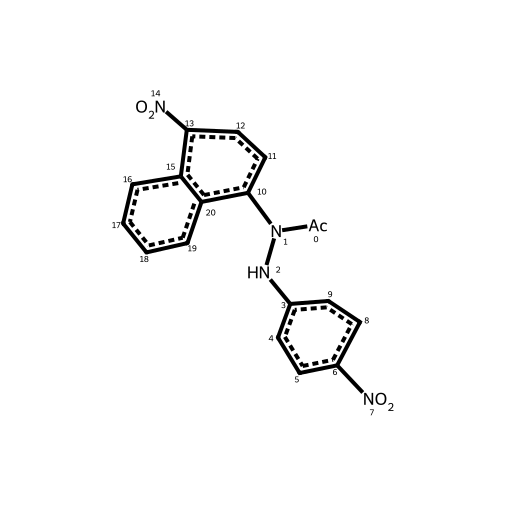 CC(=O)N(Nc1ccc([N+](=O)[O-])cc1)c1ccc([N+](=O)[O-])c2ccccc12